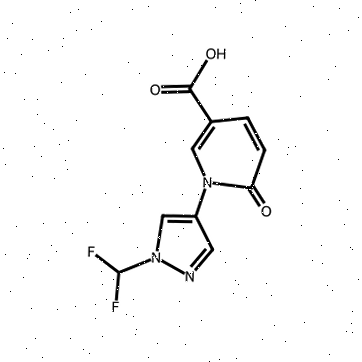 O=C(O)c1ccc(=O)n(-c2cnn(C(F)F)c2)c1